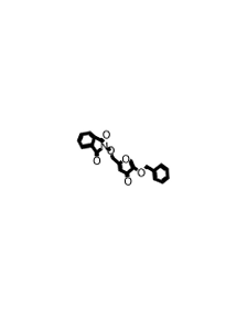 O=C1c2ccccc2C(=O)N1OCc1cc(=O)c(OCc2ccccc2)co1